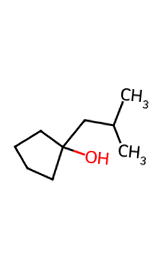 CC(C)CC1(O)CCCC1